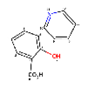 O=C(O)c1ccccc1O.c1ccncc1